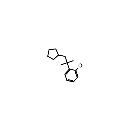 CC(C)(CC1CCCC1)c1ccccc1[O]